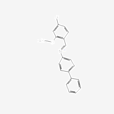 CCCCOc1cc(Br)ccc1/C=N/c1ccc(-c2ccccc2)cc1